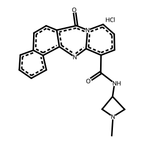 CN1CC(NC(=O)c2cccn3c(=O)c4ccc5ccccc5c4nc23)C1.Cl